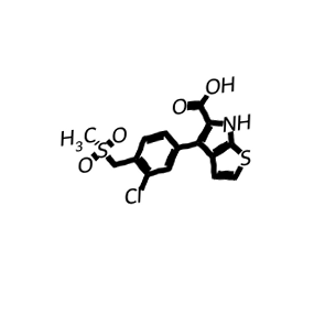 CS(=O)(=O)Cc1ccc(-c2c(C(=O)O)[nH]c3sccc23)cc1Cl